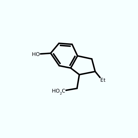 CCC1Cc2ccc(O)cc2C1CC(=O)O